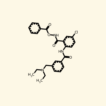 CCN(CC)Cc1cccc(C(=O)Nc2ccc(Cl)cc2C(=O)NOC(=O)c2ccccc2)c1